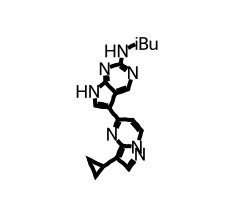 CCC(C)Nc1ncc2c(-c3ccn4ncc(C5CC5)c4n3)c[nH]c2n1